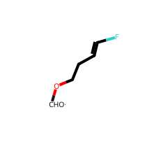 O=[C]OCCC=CF